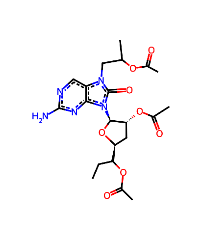 CCC(OC(C)=O)[C@@H]1C[C@@H](OC(C)=O)[C@H](n2c(=O)n(CC(C)OC(C)=O)c3cnc(N)nc32)O1